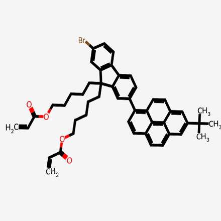 C=CC(=O)OCCCCCC1(CCCCCOC(=O)C=C)c2cc(Br)ccc2-c2ccc(-c3ccc4ccc5cc(C(C)(C)C)cc6ccc3c4c56)cc21